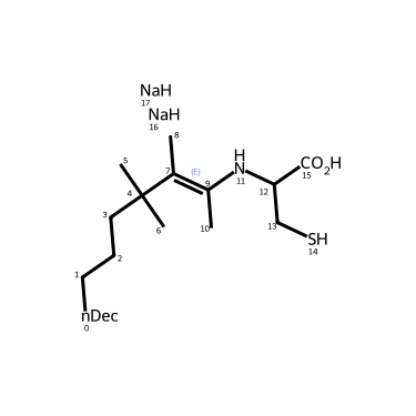 CCCCCCCCCCCCCC(C)(C)/C(C)=C(\C)NC(CS)C(=O)O.[NaH].[NaH]